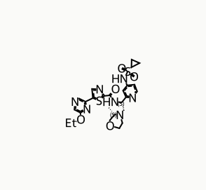 CCOc1cncc(-c2cnc(C(=O)N[C@@H](CN3CCOC[C@@H]3C)c3cc(NS(=O)(=O)C4CC4)ccn3)s2)n1